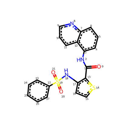 O=C(Nc1cccc2ncccc12)c1sccc1NS(=O)(=O)c1ccccc1